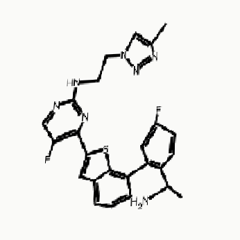 Cc1cn(CCNc2ncc(F)c(-c3cc4cccc(-c5cc(F)ccc5C(C)N)c4s3)n2)nn1